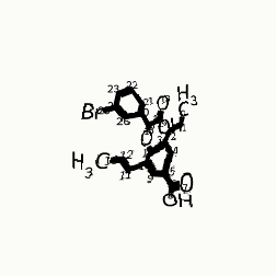 CCCc1cc(C(=O)O)cc(CCC)c1OC(C(=O)O)c1cccc(Br)c1